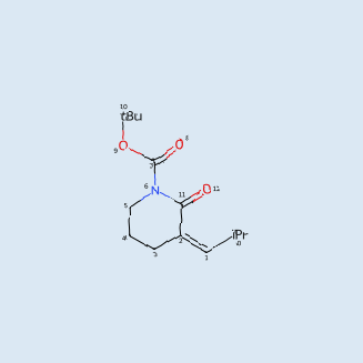 CC(C)/C=C1/CCCN(C(=O)OC(C)(C)C)C1=O